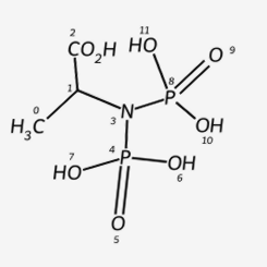 CC(C(=O)O)N(P(=O)(O)O)P(=O)(O)O